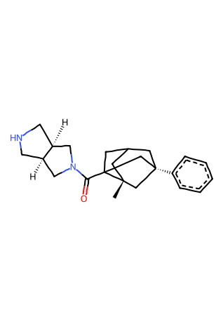 C[C@]12CC3CC1(C(=O)N1C[C@H]4CNC[C@H]4C1)C[C@@](c1ccccc1)(C3)C2